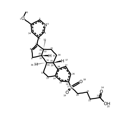 COc1cncc(C2=CC[C@H]3[C@@H]4CCc5cc(S(=O)(=O)CCCC(=O)O)ccc5[C@H]4CC[C@]23C)c1